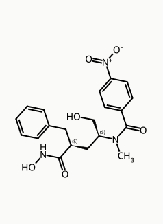 CN(C(=O)c1ccc([N+](=O)[O-])cc1)[C@H](CO)C[C@H](Cc1ccccc1)C(=O)NO